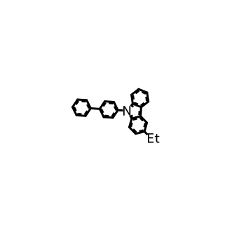 CCc1ccc2c(c1)c1ccccc1n2-c1ccc(-c2ccccc2)cc1